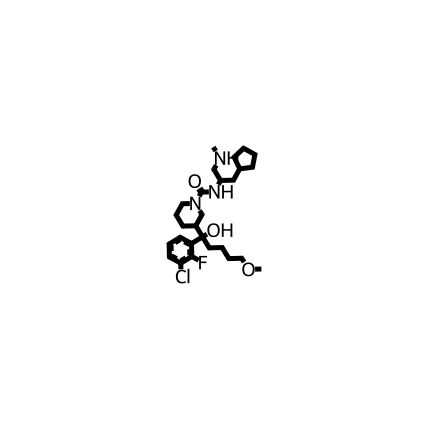 CNCC(CC1CCCC1)NC(=O)N1CCCC(C(O)(CCCCOC)c2cccc(Cl)c2F)C1